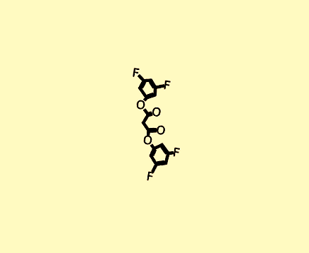 O=C(CC(=O)Oc1cc(F)cc(F)c1)Oc1cc(F)cc(F)c1